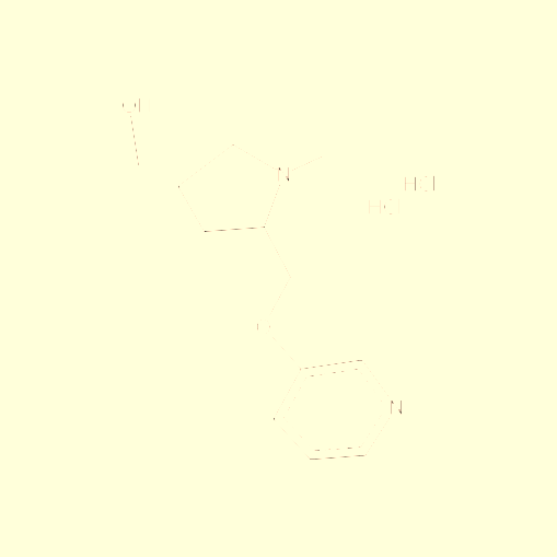 CN1C[C@@H](CO)CC1COc1cccnc1.Cl.Cl